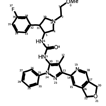 COCCN1CC(NC(=O)Nc2c(C)c(-c3cc4c(cn3)COC4)nn2-c2ccccc2)C(c2cccc(F)c2)C1